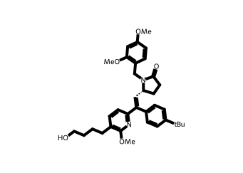 COc1ccc(CN2C(=O)CC[C@@H]2/C=C(\c2ccc(C(C)(C)C)cc2)c2ccc(CCCCO)c(OC)n2)c(OC)c1